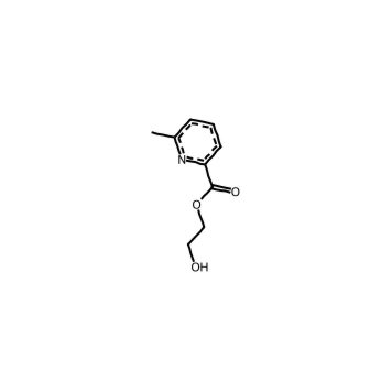 Cc1cccc(C(=O)OCCO)n1